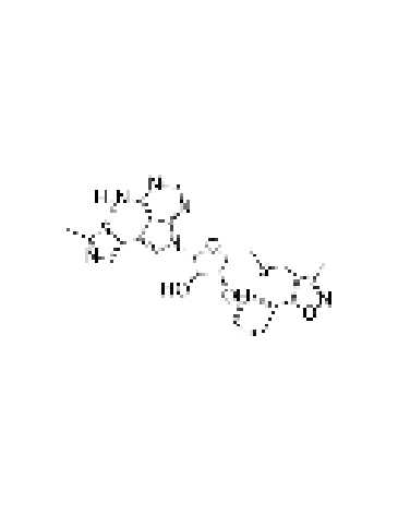 Cc1ncc(-c2cn([C@@H]3O[C@H](CSCc4c(C)noc4-c4ccccc4)[C@@H](O)[C@H]3O)c3ncnc(N)c23)s1